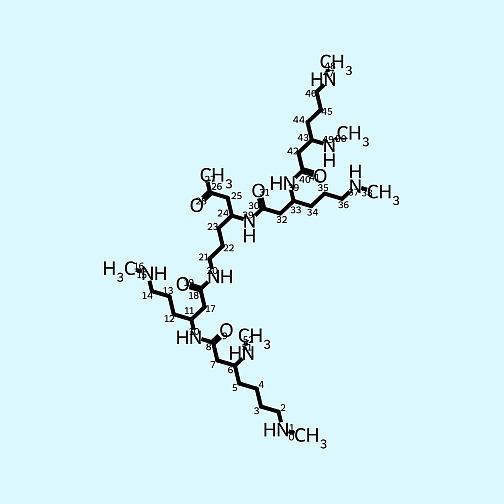 CNCCCCC(CC(=O)NC(CCCNC)CC(=O)NCCCC(CC(C)=O)NC(=O)CC(CCCNC)NC(=O)CC(CCCNC)NC)NC